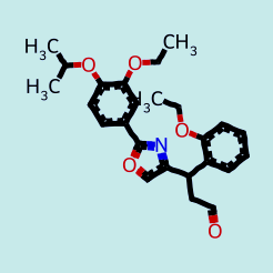 CCOc1cc(-c2nc(C(CC=O)c3ccccc3OCC)co2)ccc1OC(C)C